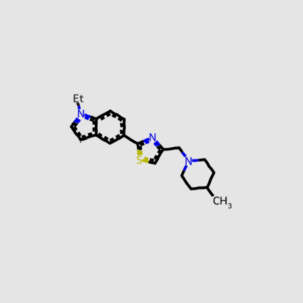 CCn1c[c]c2cc(-c3nc(CN4CCC(C)CC4)cs3)ccc21